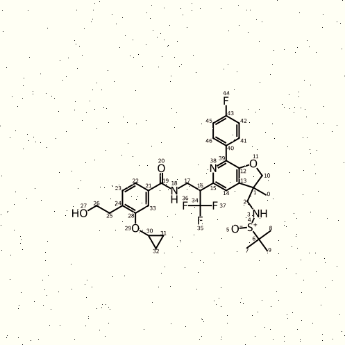 CC1(CN[S+]([O-])C(C)(C)C)COc2c1cc(C(CNC(=O)c1ccc(CCO)c(OC3CC3)c1)C(F)(F)F)nc2-c1ccc(F)cc1